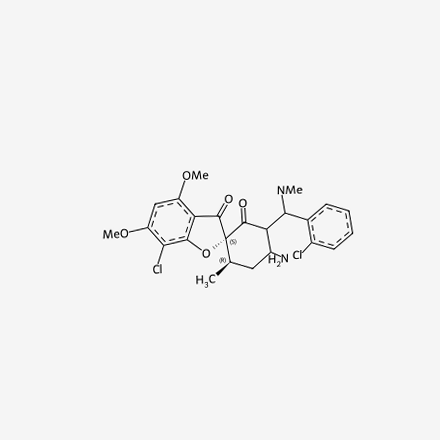 CNC(c1ccccc1Cl)C1C(=O)[C@@]2(Oc3c(Cl)c(OC)cc(OC)c3C2=O)[C@H](C)CC1N